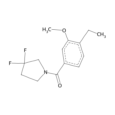 CCc1ccc(C(=O)N2CCC(F)(F)C2)cc1OC